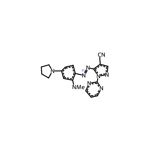 CNc1cc(N2CCCC2)ccc1/N=N/c1c(C#N)cnn1-c1ncccn1